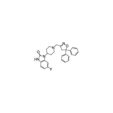 O=c1[nH]c2ccc(F)cc2n1C1CCN(CC2=NOC(c3ccccc3)(c3ccccc3)C2)CC1